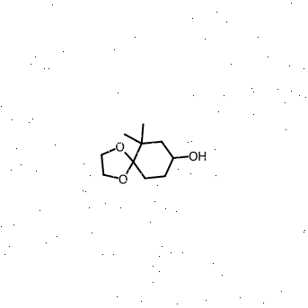 CC1(C)CC(O)CCC12OCCO2